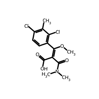 COC(=C(C(=O)O)C(=O)N(C)C)c1ccc(Cl)c(C)c1Cl